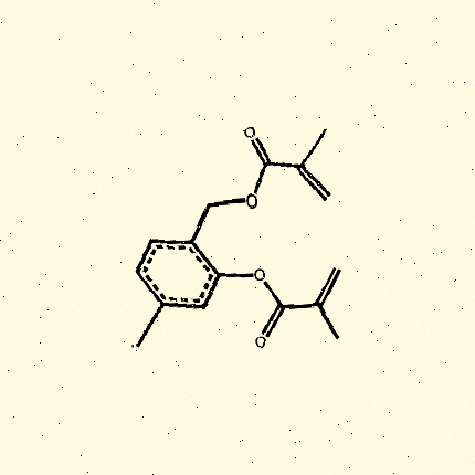 [CH2]c1ccc(COC(=O)C(=C)C)c(OC(=O)C(=C)C)c1